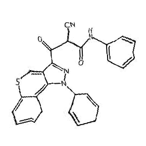 N#CC(C(=O)Nc1ccccc1)C(=O)c1nn(C2C=CCC=C2)c2c1=CSC1=CC=CCC=21